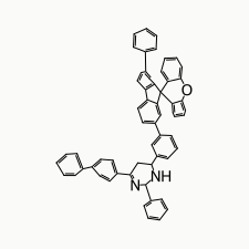 c1ccc(-c2ccc(C3=NC(c4ccccc4)NC(c4cccc(-c5ccc6c(c5)C5(c7ccccc7Oc7ccccc75)c5cc(-c7ccccc7)ccc5-6)c4)C3)cc2)cc1